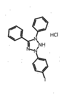 Cl.Ic1ccc(N2N=C(c3ccccc3)N(c3ccccc3)N2)cc1